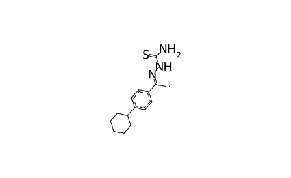 [CH2]C(=NNC(N)=S)c1ccc(C2CCCCC2)cc1